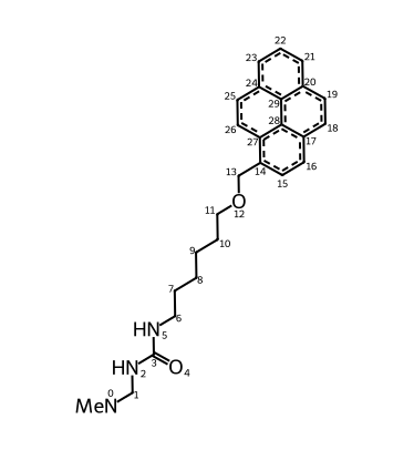 CNCNC(=O)NCCCCCCOCc1ccc2ccc3cccc4ccc1c2c34